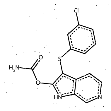 NC(=O)Oc1[nH]c2cnccc2c1Sc1cccc(Cl)c1